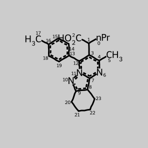 CCCC(C(=O)O)c1c(C)nc2c3c(nn2c1-c1ccc(C)cc1)CCCC3